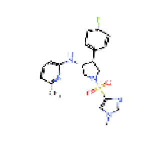 Cn1cnc(S(=O)(=O)N2C[C@H](Nc3cccc(C(F)(F)F)n3)[C@@H](c3ccc(F)cc3)C2)c1